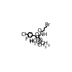 C[Si](C)(C)Oc1c(NC(=O)CCCBr)oc(-c2ccc(Cl)c(F)c2)c1O